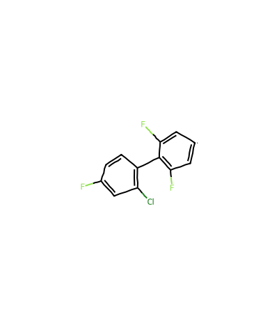 Fc1ccc(-c2c(F)c[c]cc2F)c(Cl)c1